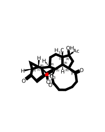 CC(=O)[C@@]1(O)C[C@H]2C(=O)CCCCC(=O)O[C@@]34C=C(Cl)C5=CC(=O)[C@@H]6C[C@@H]6[C@]5(C)[C@H]3CC[C@@]1(C)[C@@H]24